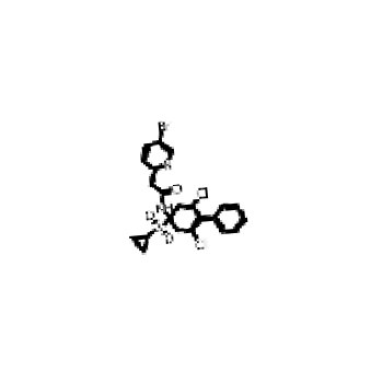 O=C(Cc1ccc(Br)cn1)NC1(S(=O)(=O)C2CC2)C=C(Cl)C(c2ccccc2)=C(Cl)C1